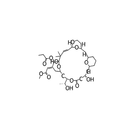 CCC(=O)O[C@H]1/C(=C/C(=O)OC)CC2CC([C@@H](C)O)OC(=O)C[C@H](O)C[C@@H]3CCC[C@H](C[C@@H]4CCO[C@H](/C=C/C(C)(C)[C@]1(O)O2)O4)O3